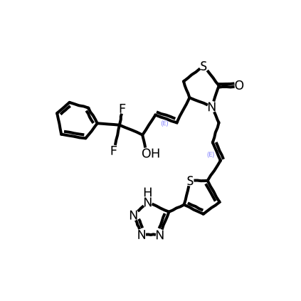 O=C1SCC(/C=C/C(O)C(F)(F)c2ccccc2)N1C/C=C/c1ccc(-c2nnn[nH]2)s1